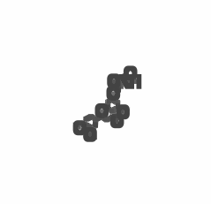 COc1ccc(-c2cc(=O)c3c(OC)cc(OCC(=O)NC=O)cc3o2)cc1OC